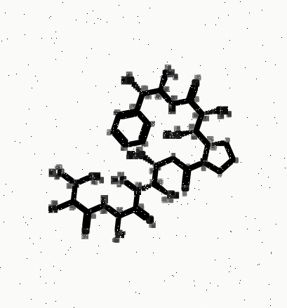 CC[C@H](C)[C@@H]([C@@H](CC(=O)N1CCC[C@H]1[C@H](OC)[C@@H](C)C(=O)N[C@H](C)[C@@H](O)c1ccccc1)OC)N(C)C(=O)C(NC(=O)C(C(C)C)N(C)C)C(C)C